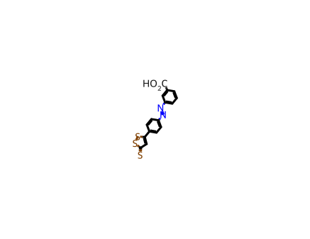 O=C(O)c1cccc(/N=N/c2ccc(-c3cc(=S)ss3)cc2)c1